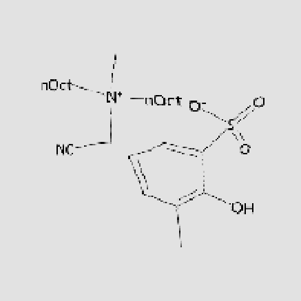 CCCCCCCC[N+](C)(CC#N)CCCCCCCC.Cc1cccc(S(=O)(=O)[O-])c1O